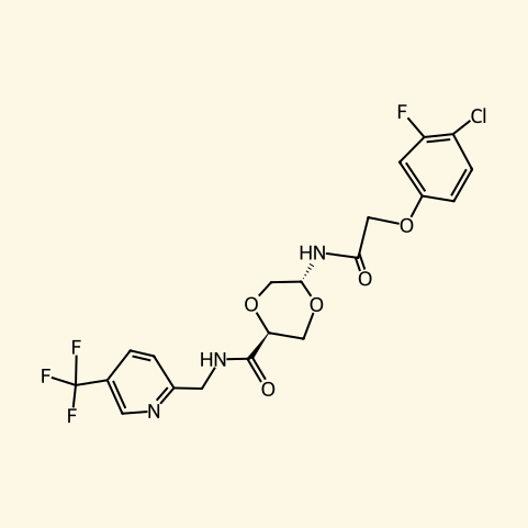 O=C(COc1ccc(Cl)c(F)c1)N[C@H]1CO[C@H](C(=O)NCc2ccc(C(F)(F)F)cn2)CO1